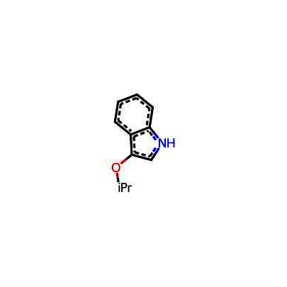 CC(C)Oc1c[nH]c2ccccc12